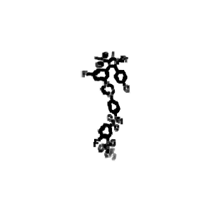 Cc1c(S(C)(=O)=O)c(-c2cc(F)cc(N3CCN(c4ccc(NS(=O)(=O)c5ccc(F)c(S(=O)(=O)C(F)(F)F)c5)cc4)CC3)c2)c(-c2ccc(Cl)cc2)n1C(C)C